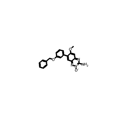 COc1cc2nc(N)[n+]([O-])nc2cc1-c1cccc(OCc2ccccc2)c1